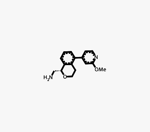 COc1cc(-c2cccc3c2CCO[C@@H]3CN)ccn1